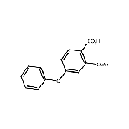 COc1cc(Oc2ccccc2)ccc1C(=O)O